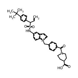 C=CC(c1ccc(C(C)(C)C)cc1)S(=O)(=O)Nc1ccc2c(ccn2Cc2ccc(C(=O)N3CCC(C(=O)O)CC3)cc2)c1